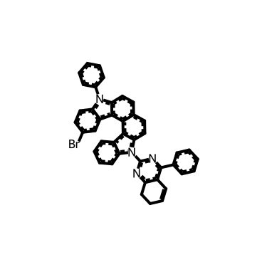 Brc1ccc2c(c1)c1c3c(ccc1n2-c1ccccc1)ccc1c3c2ccccc2n1-c1nc2c(c(-c3ccccc3)n1)C=CCC2